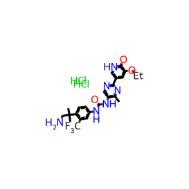 CCOc1cc(-c2ncc(NC(=O)Nc3ccc(C(C)(C)CN)c(C(F)(F)F)c3)c(C)n2)c[nH]c1=O.Cl.Cl